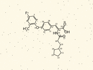 Cc1cc(F)ccc1Oc1ccc(C=C(NC(=O)CCC2CCCC2)C(=O)O)cc1